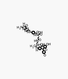 C=C(NCCNC(=O)CC[C@H](NC(=O)c1ccc(NCc2cnc3nc(N)[nH]c(=O)c3n2)cc1)C(=O)O)Nc1ccc(-c2c3ccc(=O)cc-3oc3cc(O)ccc23)c(C(=O)O)c1